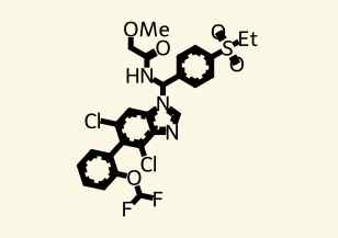 CCS(=O)(=O)c1ccc(C(NC(=O)COC)n2cnc3c(Cl)c(-c4ccccc4OC(F)F)c(Cl)cc32)cc1